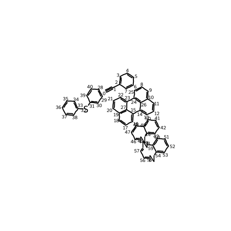 C#Cc1ccccc1.c1cc2cccc3c4cccc5cccc(c(c1)c23)c54.c1ccc(Sc2ccccc2)cc1.c1ccc2ncccc2c1.c1ccc2nccnc2c1